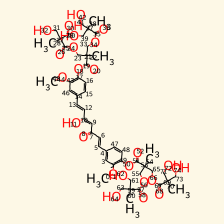 COc1cc(/C=C/C(=O)/C=C(O)/C=C/c2ccc(OC(=O)C(C)(COC(=O)C(C)(CO)CO)COC(=O)C(C)(CO)CO)c(OC)c2)ccc1OC(=O)C(C)(COC(=O)C(C)(CO)CO)COC(=O)C(C)(CO)CO